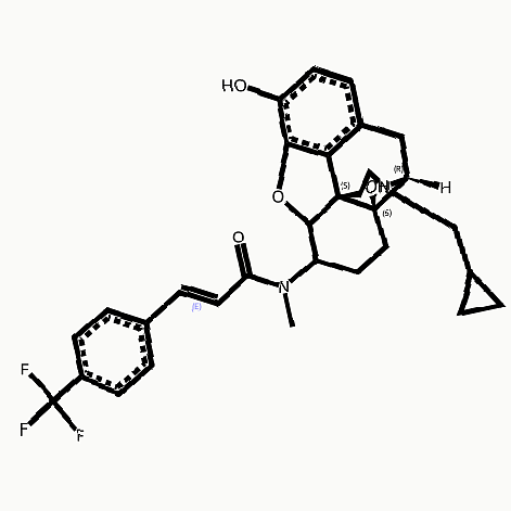 CN(C(=O)/C=C/c1ccc(C(F)(F)F)cc1)C1CC[C@@]2(O)[C@H]3Cc4ccc(O)c5c4[C@@]2(CCN3CC2CC2)C1O5